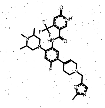 Cc1ncc(CN2CC=C(c3cc(NC(=O)c4c[nH]c(=O)cc4C(F)(F)F)c(N4CC(C)N(C)C(C)C4)cc3F)CC2)o1